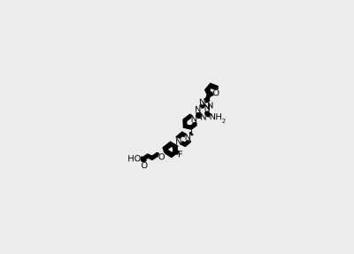 Nc1nc(N2CCC[C@@H](CN3CCN(c4ccc(OCCCC(=O)O)cc4F)CC3)C2)nc2nc(-c3ccco3)nn12